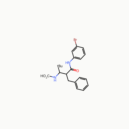 CC(C)(C)C(NC(=O)O)C(Cc1ccccc1)C(=O)Nc1cccc(Br)c1